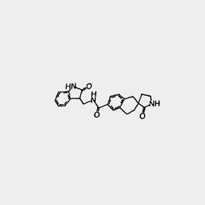 O=C(NCC1C(=O)Nc2ccccc21)c1ccc2c(c1)CCC1(CCNC1=O)C2